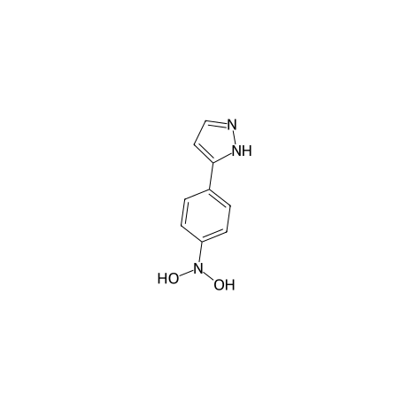 ON(O)c1ccc(-c2ccn[nH]2)cc1